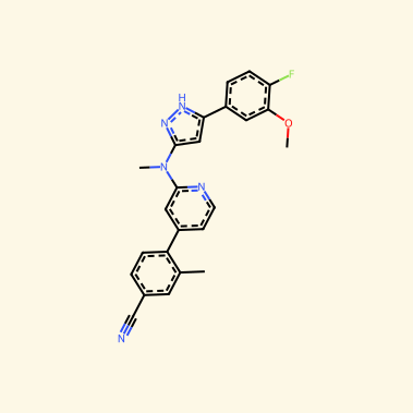 COc1cc(-c2cc(N(C)c3cc(-c4ccc(C#N)cc4C)ccn3)n[nH]2)ccc1F